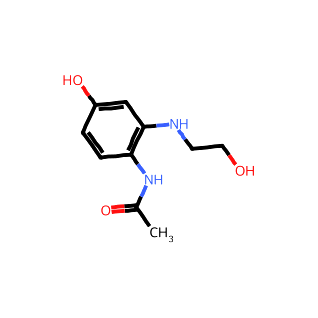 CC(=O)Nc1ccc(O)cc1NCCO